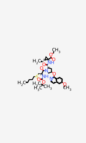 C=CCCCSC[C@H](NC(=O)OC(C)(C)C)C(=O)N1CC(Oc2nccc3cc(OC)ccc23)C[C@H]1C(=O)N[C@]1(C(=O)OCC)C[C@H]1C=C